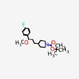 CO[C@H](CCC1CCN(C(=O)OC(C)(C)C)CC1)c1ccc(F)cc1